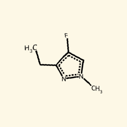 CCc1nn(C)cc1F